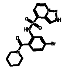 O=C(c1ccc(Br)cc1NS(=O)(=O)C1=CC=CN2SNC=C12)N1CCCCC1